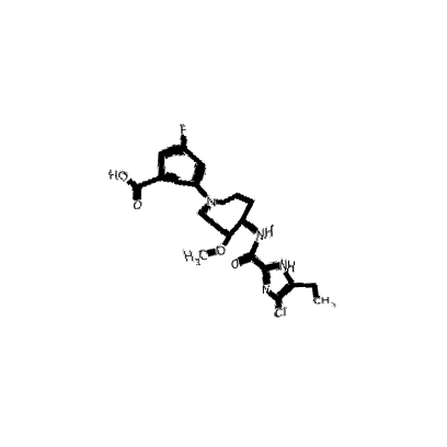 CCc1[nH]c(C(=O)NC2CCN(c3cc(F)cc(C(=O)O)c3)CC2OC)nc1Cl